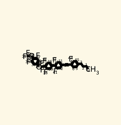 CCCCc1ccc(C#Cc2cc(F)c(-c3cc(F)c(C(F)(F)Oc4cc(F)c(OC(F)(F)F)c(F)c4)c(F)c3)c(F)c2)c(F)c1